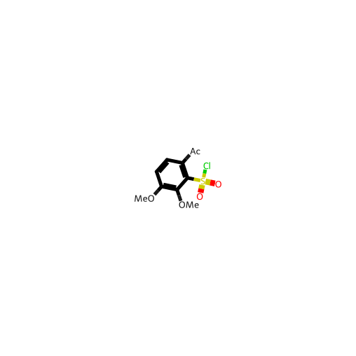 COc1ccc(C(C)=O)c(S(=O)(=O)Cl)c1OC